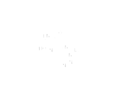 CCn1ccnn1.N#CC(=NO)C(N)=O